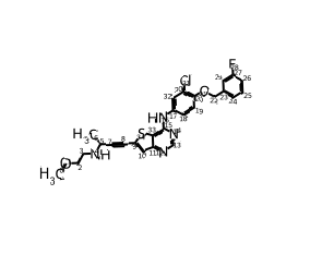 COCCN[C@@H](C)C#Cc1cc2ncnc(Nc3ccc(OCc4cccc(F)c4)c(Cl)c3)c2s1